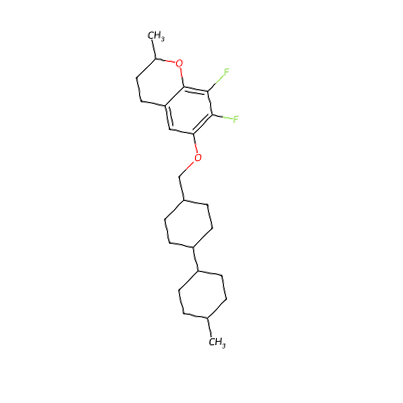 CC1CCC(C2CCC(COc3cc4c(c(F)c3F)OC(C)CC4)CC2)CC1